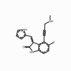 CNCC#Cc1c(F)ccc2c1C(=Cc1ccc[nH]1)C(=O)N2